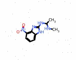 CNC(C)Nc1nc2c([N+](=O)[O-])cccc2[nH]1